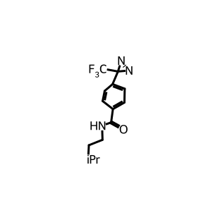 CC(C)CCNC(=O)c1ccc(C2(C(F)(F)F)N=N2)cc1